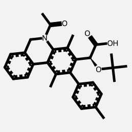 CC(=O)N1Cc2ccccc2-c2c(C)c(-c3ccc(C)cc3)c([C@H](OC(C)(C)C)C(=O)O)c(C)c21